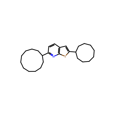 c1cc2cc(C3CCCCCCCC3)sc2nc1C1CCCCCCCCCC1